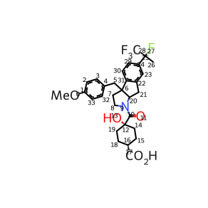 COc1ccc(CC23CCN(C(=O)[C@]4(O)CC[C@@H](C(=O)O)CC4)C2Cc2cc(C(C)(F)C(F)(F)F)ccc23)cc1